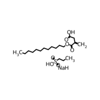 C=C(CC(=O)O)C(=O)OCCCCCCCCCCCC.CCCS(=O)(=O)O.[NaH]